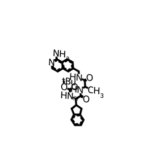 CC(NC(=O)[C@H](NC(=O)OC(C)(C)C)C1Cc2ccccc2C1)C(=O)NCc1ccc2c(N)nccc2c1